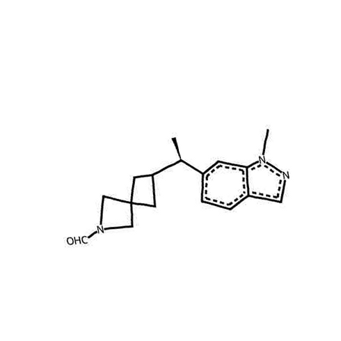 C[C@@H](c1ccc2cnn(C)c2c1)C1CC2(C1)CN(C=O)C2